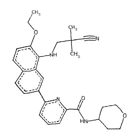 CCOc1ccc2ccc(-c3cccc(C(=O)NC4CCOCC4)n3)cc2c1NCC(C)(C)C#N